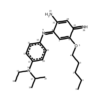 CCCCCOC1=CC(=Nc2ccc(N(CC)C(C)C)cc2)C(N)=CC1=N